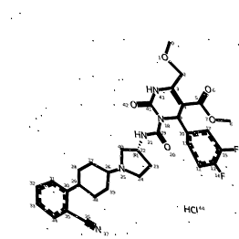 COCC1=C(C(=O)OC)C(c2ccc(F)c(F)c2)N(C(=O)N[C@@H]2CCN(C3CCC(c4ccccc4C#N)CC3)C2)C(=O)N1.Cl